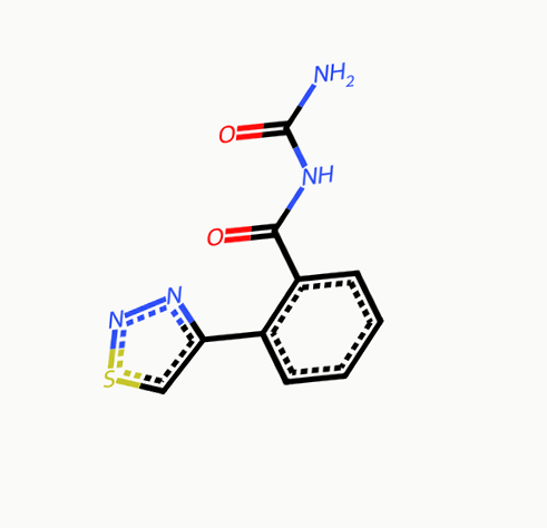 NC(=O)NC(=O)c1ccccc1-c1csnn1